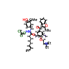 CCCCc1oc2ccccc2c1C(=O)c1cc(I)c(OCCN(CC)CC)c(I)c1.COc1cc(CNC(=O)CCCC/C=C/C(C)C)ccc1O.ClC(Cl)Cl